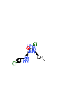 CCCCNc1nc(Cl)[nH]c1C(=O)NCCCn1nnnc1Cc1ccc(Cl)cc1